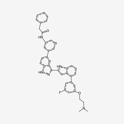 CN(C)CCOc1cc(F)cc(-c2cccc3[nH]c(-c4n[nH]c5ccc(-c6cncc(NC(=O)Cc7ccccc7)c6)nc45)cc23)c1